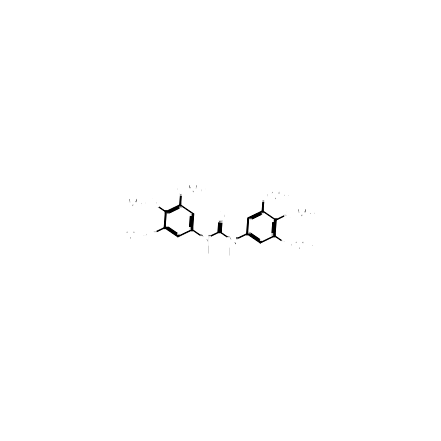 COc1cc(NC(=O)Nc2cc(OC)c(OC)c(OC)c2)cc(OC)c1OC